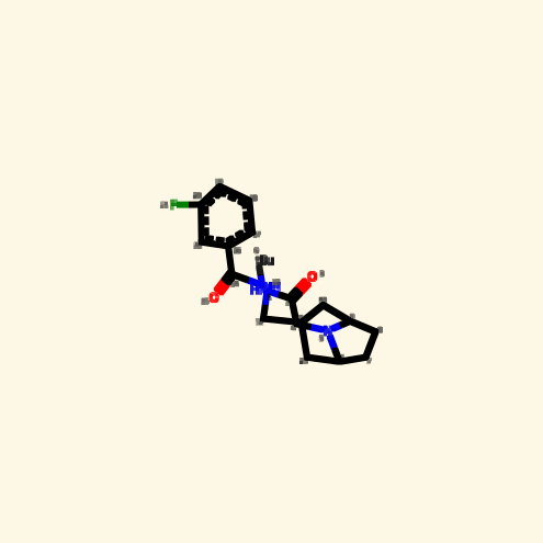 CC(C)(C)NC(=O)CN1C2CCC1CC(CNC(=O)c1cccc(F)c1)C2